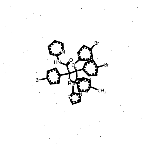 Cc1ccc(OC(C(=O)Nc2ccccn2)(c2ccc(Br)cc2)C(Oc2ccc(Br)cc2)(C(=O)Nc2nccs2)c2ccc(Br)cc2)cc1